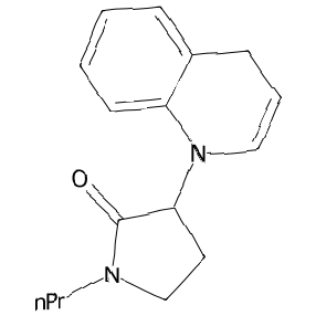 CCCN1CCC(N2C=CCc3ccccc32)C1=O